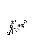 O=C(NCCC1COCCN(c2nc(OC[C@@]34CCCN3C[C@H](F)C4)nc3c(F)c(Cl)ncc23)C1)OCc1ccccc1